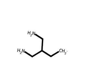 [CH2]CC(CN)CN